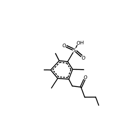 CCCC(=O)Cc1c(C)c(C)c(C)c(S(=O)(=O)O)c1C